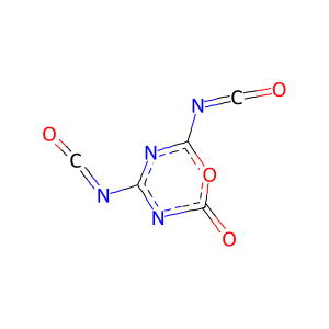 O=C=Nc1nc(N=C=O)oc(=O)n1